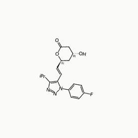 CC(C)c1nnn(-c2ccc(F)cc2)c1C=C[C@@H]1C[C@@H](O)CC(=O)O1